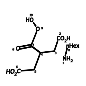 CCCCCCN.O=C(O)CC(CC(=O)O)C(=O)OO